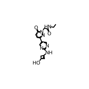 CCNC(=O)Cn1nc(-c2cnc(NC34CC(O)(C3)C4)nc2)ccc1=O